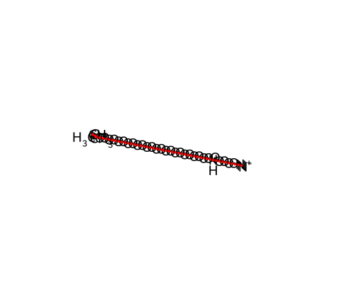 CC(C)(C)C(=O)CCOCCOCCOCCOCCOCCOCCOCCOCCOCCOCCOCCOCCOCCOCCOCCOCCOCCOCCOCCOCCOCCOCCOCCOCCNC(=O)CCOCCOCCOCCOCCCN=[N+]=[N-]